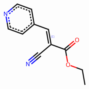 CCOC(=O)/C(C#N)=C/c1ccncc1